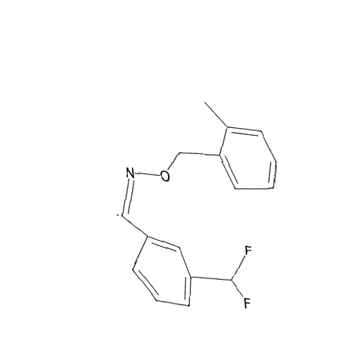 Cc1ccccc1CO/N=[C]\c1cccc(C(F)F)c1